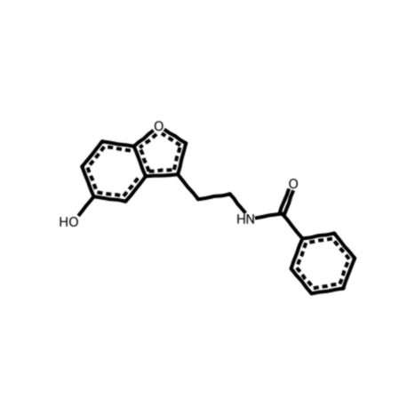 O=C(NCCc1coc2ccc(O)cc12)c1ccccc1